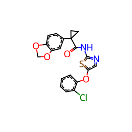 O=C(Nc1ncc(Oc2ccccc2Cl)s1)C1(c2ccc3c(c2)OCO3)CC1